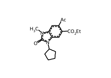 CCOC(=O)c1cc2c(cc1C(C)=O)n(C)c(=O)n2C1CCCC1